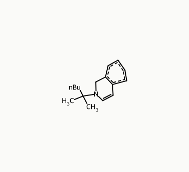 CCCCC(C)(C)N1C=Cc2ccccc2C1